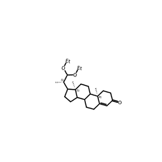 CCOC(OCC)[C@@H](C)C1CCC2C3CCC4=CC(=O)CC[C@]4(C)C3CC[C@@]21C